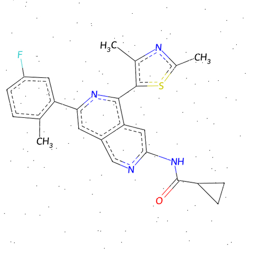 Cc1nc(C)c(-c2nc(-c3cc(F)ccc3C)cc3cnc(NC(=O)C4CC4)cc23)s1